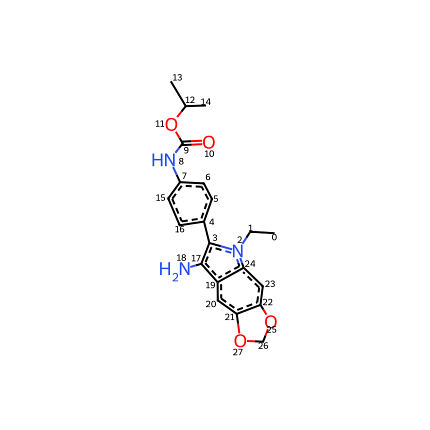 CCn1c(-c2ccc(NC(=O)OC(C)C)cc2)c(N)c2cc3c(cc21)OCO3